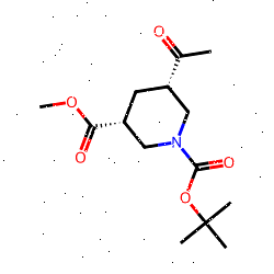 COC(=O)[C@@H]1C[C@H](C(C)=O)CN(C(=O)OC(C)(C)C)C1